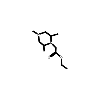 CCOC(=O)CN1C(C)CN(C)CC1C